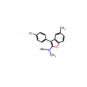 CCCCN(C)c1oc2ccc(C)cc2c1-c1ccc(Br)cc1